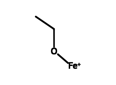 CC[O][Fe+]